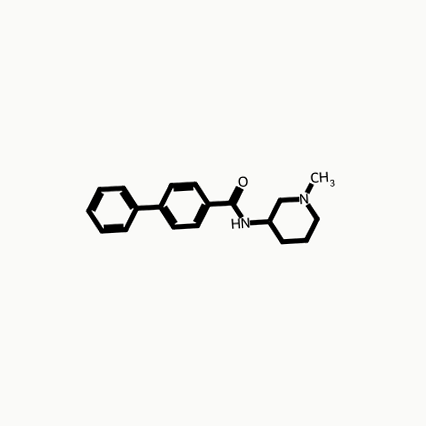 CN1CCCC(NC(=O)c2ccc(-c3ccccc3)cc2)C1